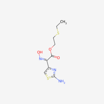 CCSCCOC(=O)C(=NO)c1csc(N)n1